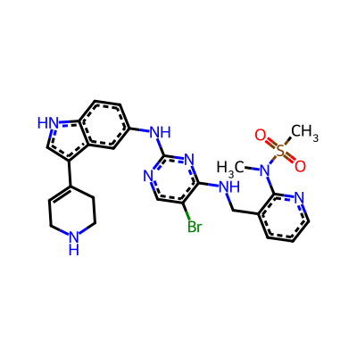 CN(c1ncccc1CNc1nc(Nc2ccc3[nH]cc(C4=CCNCC4)c3c2)ncc1Br)S(C)(=O)=O